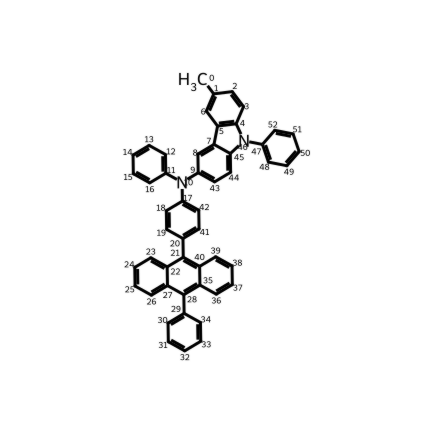 Cc1ccc2c(c1)c1cc(N(c3ccccc3)c3ccc(-c4c5ccccc5c(-c5ccccc5)c5ccccc45)cc3)ccc1n2-c1ccccc1